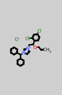 C=CCOC(C[n+]1ccn(C(c2ccccc2)c2ccccc2)c1)c1ccc(Cl)cc1Cl.[Cl-]